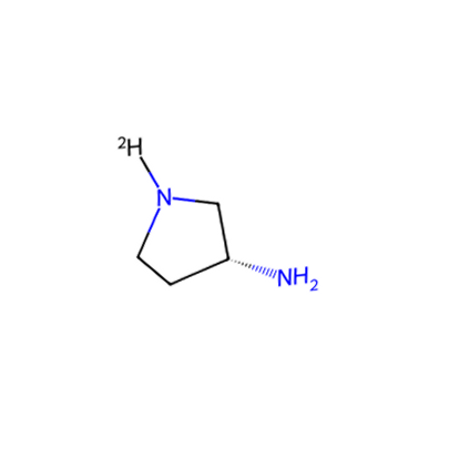 [2H]N1CC[C@@H](N)C1